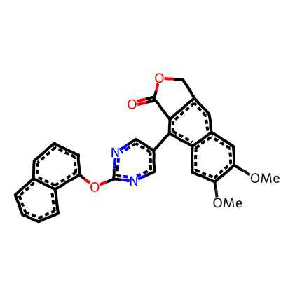 COc1cc2cc3c(c(-c4cnc(Oc5cccc6ccccc56)nc4)c2cc1OC)C(=O)OC3